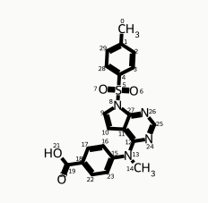 Cc1ccc(S(=O)(=O)n2ccc3c(N(C)c4ccc(C(=O)O)cc4)ncnc32)cc1